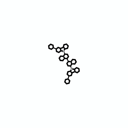 c1ccc(-c2ccc3c(c2)c2ccccc2n3-c2ccc(-c3ccc(-n4c5ccccc5c5cc(-c6ccccc6)ccc54)c4ccccc34)c3ccccc23)cc1